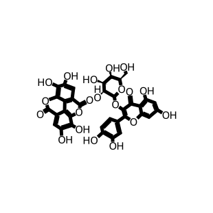 O=c1c(OC2O[C@H](CO)[C@H](O)[C@H](O)[C@H]2O)c(-c2ccc(O)c(O)c2)oc2cc(O)cc(O)c12.O=c1oc2c(O)c(O)cc3c(=O)oc4c(O)c(O)cc1c4c23